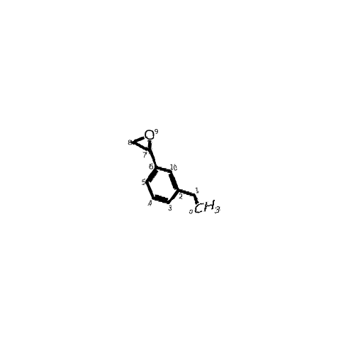 CCc1cccc(C2CO2)c1